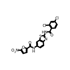 O=C(Nc1ccc2nc(NC(=O)c3ccc(Cl)cc3Cl)sc2c1)c1ccc([N+](=O)[O-])o1